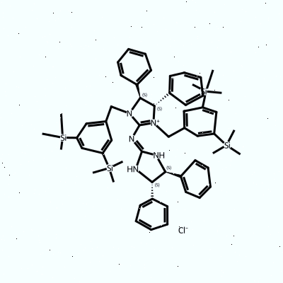 C[Si](C)(C)c1cc(CN2C(N=C3N[C@@H](c4ccccc4)[C@H](c4ccccc4)N3)=[N+](Cc3cc([Si](C)(C)C)cc([Si](C)(C)C)c3)[C@@H](c3ccccc3)[C@@H]2c2ccccc2)cc([Si](C)(C)C)c1.[Cl-]